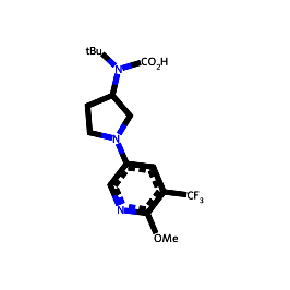 COc1ncc(N2CCC(N(C(=O)O)C(C)(C)C)C2)cc1C(F)(F)F